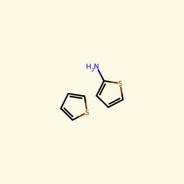 Nc1cccs1.c1ccsc1